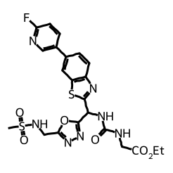 CCOC(=O)CNC(=O)NC(c1nnc(CNS(C)(=O)=O)o1)c1nc2ccc(-c3ccc(F)nc3)cc2s1